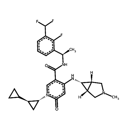 C[C@@H](NC(=O)c1cn([C@@H]2C[C@H]2C2CC2)c(=O)cc1N[C@@H]1[C@@H]2CN(C)C[C@@H]21)c1cccc(C(F)F)c1F